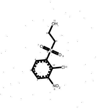 O=[N+]([O-])c1cccc(S(=O)(=O)CCO)c1Cl